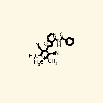 CC1=C(C#N)C(c2cc3c(NC(=O)c4ccccc4)nccc3o2)C(C#N)=C(C)N1C